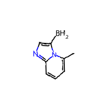 Bc1cnc2cccc(C)n12